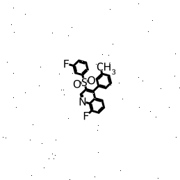 Cc1cccc(-c2c(S(=O)(=O)c3cccc(F)c3)cnc3c(F)cccc23)c1